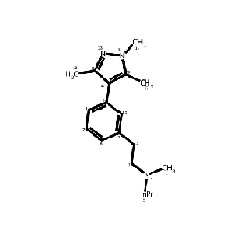 CCCN(C)CCc1cccc(-c2c(C)nn(C)c2C)c1